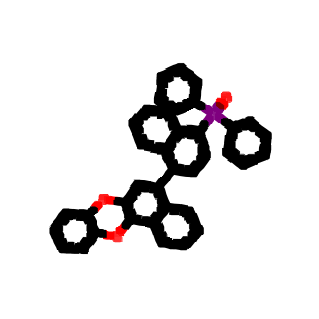 O=P(c1ccccc1)(c1ccccc1)c1ccc(-c2cc3c(c4ccccc24)Oc2ccccc2O3)c2ccccc12